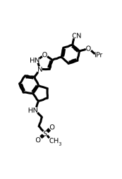 CC(C)Oc1ccc(C2=CN(c3cccc4c3CCC4NCCS(C)(=O)=O)NO2)cc1C#N